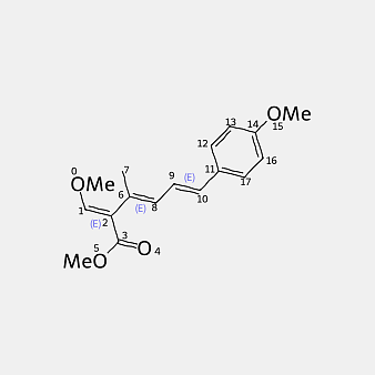 CO\C=C(C(=O)OC)/C(C)=C/C=C/c1ccc(OC)cc1